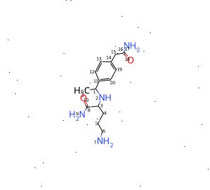 CC(NC(CCCN)C(N)=O)c1ccc(CC(N)=O)cc1